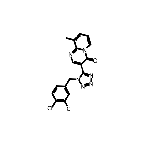 Cc1cccn2c(=O)c(-c3nnnn3Cc3ccc(Cl)c(Cl)c3)cnc12